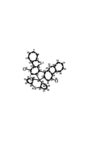 Clc1cc2c(c3sc4ccccc4c13)-c1c(cc(Cl)c3c1sc1ccccc13)C21c2ccccc2Sc2ccccc21